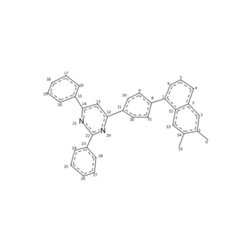 Cc1cc2cccc(-c3ccc(-c4cc(-c5ccccc5)nc(-c5ccccc5)n4)cc3)c2cc1C